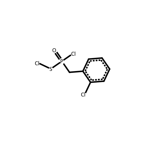 O=P(Cl)(Cc1ccccc1Cl)SCl